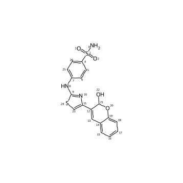 NS(=O)(=O)c1ccc(Nc2nc(C3=Cc4ccccc4OC3O)cs2)cc1